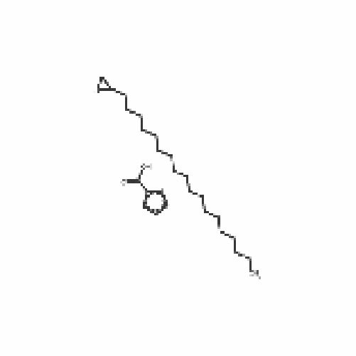 CCCCCCCCCCCCCCCCCCC1CO1.O=C(O)c1cccs1